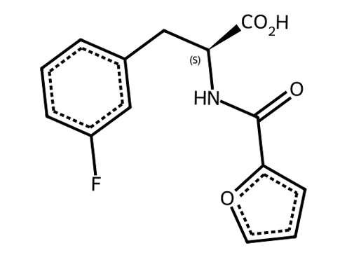 O=C(N[C@@H](Cc1cccc(F)c1)C(=O)O)c1ccco1